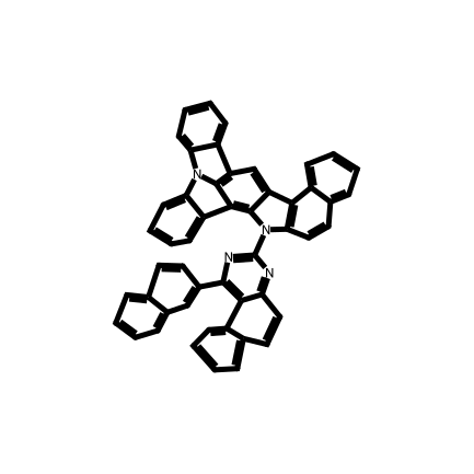 c1ccc2cc(-c3nc(-n4c5ccc6ccccc6c5c5cc6c7ccccc7n7c8ccccc8c(c54)c67)nc4ccc5ccccc5c34)ccc2c1